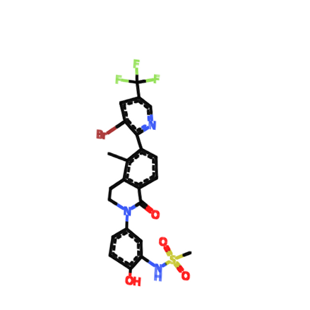 Cc1c(-c2ncc(C(F)(F)F)cc2Br)ccc2c1CCN(c1ccc(O)c(NS(C)(=O)=O)c1)C2=O